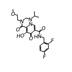 COCCN1CN(C(C)C)n2cc(C(=O)NCc3ccc(F)cc3F)c(=O)c(O)c2C1=O